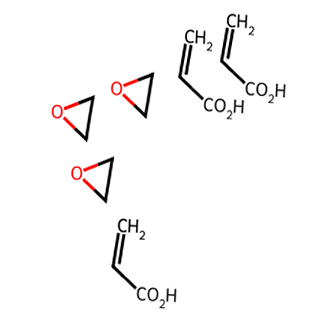 C1CO1.C1CO1.C1CO1.C=CC(=O)O.C=CC(=O)O.C=CC(=O)O